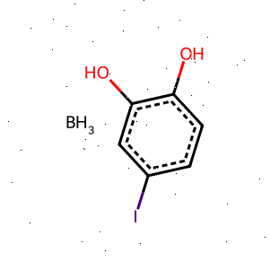 B.Oc1ccc(I)cc1O